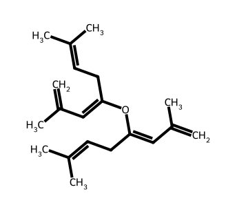 C=C(C)C=C(CC=C(C)C)OC(=CC(=C)C)CC=C(C)C